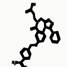 N=C(N)c1ccc(COc2ccc3c(c2)C(=O)N(CCC(=O)O)Cc2nnc(-c4ccccc4)n2-3)cc1